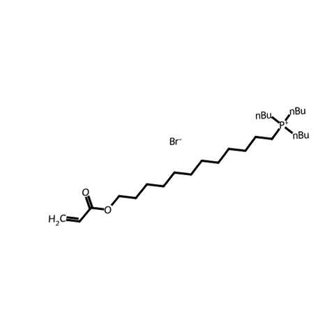 C=CC(=O)OCCCCCCCCCCCC[P+](CCCC)(CCCC)CCCC.[Br-]